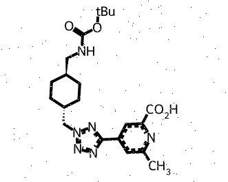 Cc1cc(-c2nnn(C[C@H]3CC[C@H](CNC(=O)OC(C)(C)C)CC3)n2)cc(C(=O)O)n1